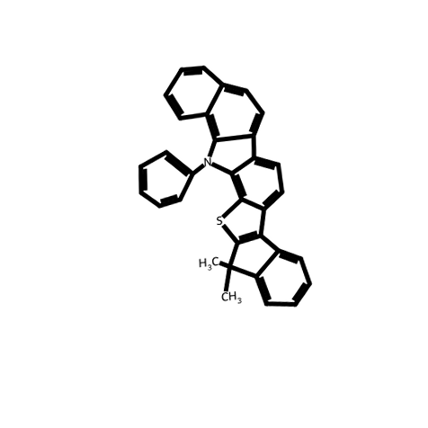 CC1(C)c2ccccc2-c2c1sc1c2ccc2c3ccc4ccccc4c3n(-c3ccccc3)c21